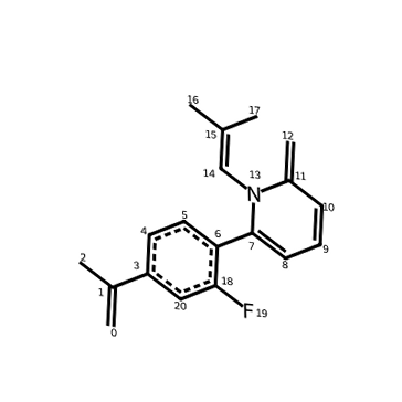 C=C(C)c1ccc(C2=CC=CC(=C)N2C=C(C)C)c(F)c1